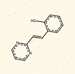 Oc1ccccc1/C=C/c1ncccn1